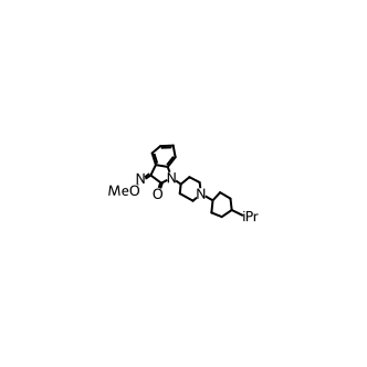 CO/N=C1\C(=O)N(C2CCN(C3CCC(C(C)C)CC3)CC2)c2ccccc21